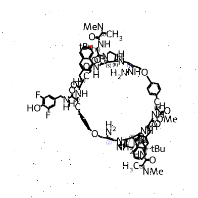 CN[C@@H](C)C(=O)N[C@H](C(=O)N1CC[C@@H]2[C@H]1C(=O)N[C@@H](Cc1ccc3ccccc3c1)C(=O)N[C@H](C(=O)OC)Cc1ccc(cc1)OC/C(NN)=C/N[C@@H]1CCN(C(=O)[C@@H](NC(=O)[C@H](C)NC)C(C)(C)C)[C@@H]1C(=O)NC(=O)C[C@@H](Cc1ccc3ccccc3c1)C(=O)N[C@H](C(=O)NCc1cc(F)c(O)c(F)c1)Cc1ccc(cc1)OC/C(N)=C/N2N)C(C)(C)C